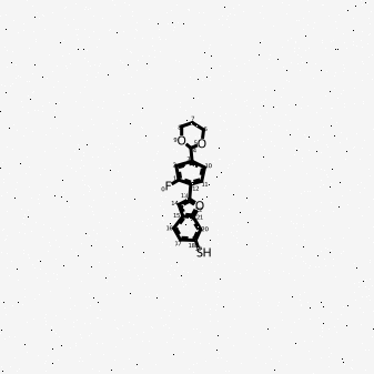 Fc1cc(C2OCCCO2)ccc1-c1cc2ccc(S)cc2o1